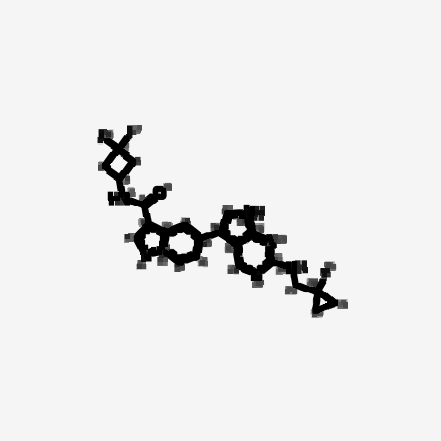 O=C(NC1CC(F)(F)C1)c1cnn2ccc(-c3c[nH]c4nc(NCC5(F)CC5)ncc34)cc12